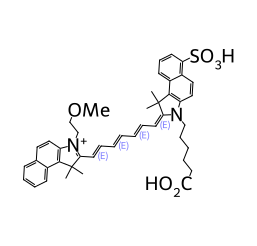 COCC[N+]1=C(/C=C/C=C/C=C/C=C2/N(CCCCCC(=O)O)c3ccc4c(S(=O)(=O)O)cccc4c3C2(C)C)C(C)(C)c2c1ccc1ccccc21